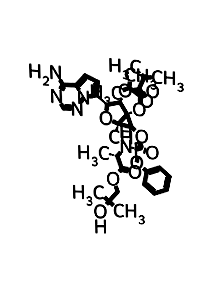 CC(C)C(=O)O[C@H]1[C@H](c2ccc3c(N)ncnn23)O[C@]2(C)C(O[P@](=O)(N[C@@H](C)C(=O)OCC(C)(C)O)Oc3ccccc3)[C@]12OC(=O)C(C)C